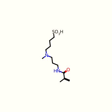 C=C(C)C(=O)NCCCN(C)CCCCS(=O)(=O)O